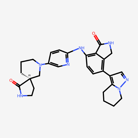 O=C1NCc2c(-c3cnn4c3CCCC4)ccc(Nc3ccc(N4CCC[C@@]5(CCNC5=O)C4)cn3)c21